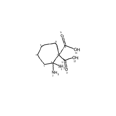 NC1(N)CCCCC1(C(=O)O)C(=O)O